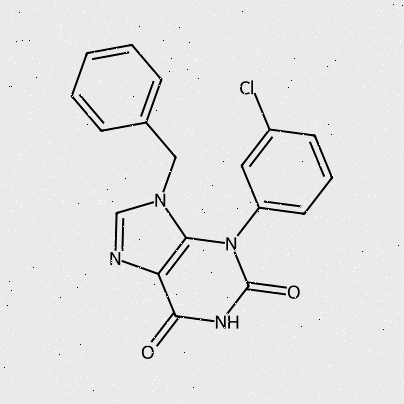 O=c1[nH]c(=O)n(-c2cccc(Cl)c2)c2c1ncn2Cc1ccccc1